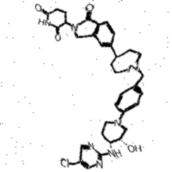 O=C1CCC(N2Cc3cc(C4CCN(Cc5ccc(N6CC[C@@H](Nc7ncc(Cl)cn7)[C@@H](O)C6)cc5)CC4)ccc3C2=O)C(=O)N1